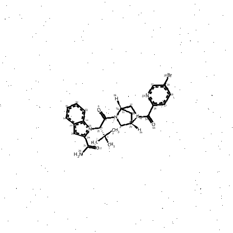 CC(C)(C)[C@@H](C(=O)N1C[C@@H]2C[C@H]1CN2C(=O)c1ccc(Br)cn1)n1c(C(N)=O)cc2ccccc21